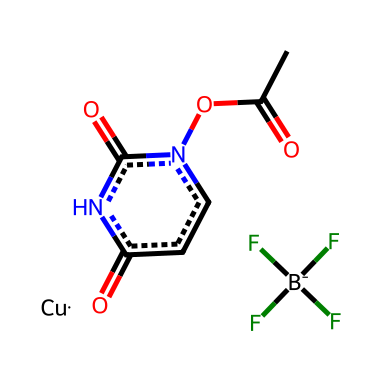 CC(=O)On1ccc(=O)[nH]c1=O.F[B-](F)(F)F.[Cu]